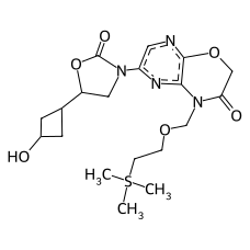 CS(C)(C)CCOCN1C(=O)COc2ncc(N3CC(C4CC(O)C4)OC3=O)nc21